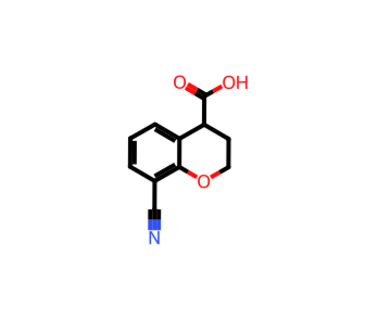 N#Cc1cccc2c1OCCC2C(=O)O